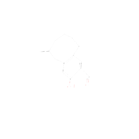 CC1CCCCc2cc(C=O)c(O)cc2C1